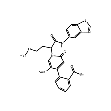 CCC(=O)c1ccccc1-c1cc(=O)n(C(CCOC(C)(C)C)C(=O)Nc2ccc3scnc3c2)cc1OC